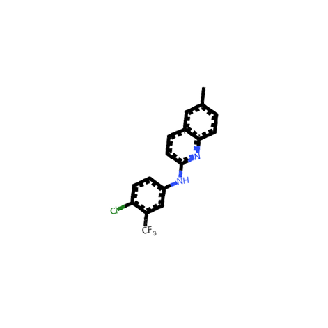 Cc1ccc2nc(Nc3ccc(Cl)c(C(F)(F)F)c3)ccc2c1